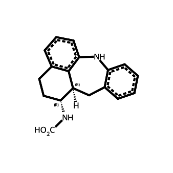 O=C(O)N[C@@H]1CCc2cccc3c2[C@H]1Cc1ccccc1N3